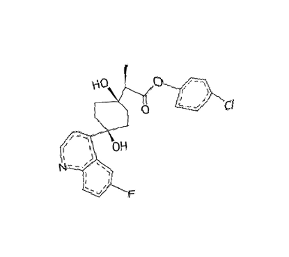 C[C@@H](C(=O)Oc1ccc(Cl)cc1)[C@]1(O)CC[C@](O)(c2ccnc3ccc(F)cc32)CC1